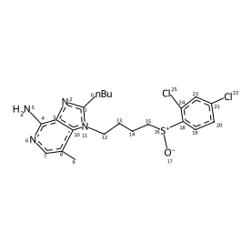 CCCCc1nc2c(N)ncc(C)c2n1CCCC[S+]([O-])c1ccc(Cl)cc1Cl